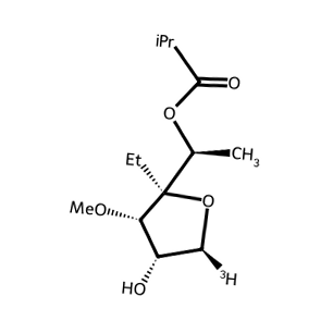 [3H][C@@H]1O[C@](CC)([C@H](C)OC(=O)C(C)C)[C@@H](OC)[C@H]1O